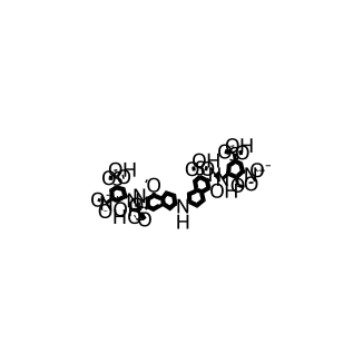 COc1c(N=Nc2c(S(=O)(=O)O)cc3cc(Nc4ccc5c(OC)c(N=Nc6cc(S(=O)(=O)O)cc([N+](=O)[O-])c6O)c(S(=O)(=O)O)cc5c4)ccc3c2O)cc(S(=O)(=O)O)cc1[N+](=O)[O-]